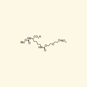 CC(C)(C)OC(=O)NC(CCCCNC(=O)OCCOCCO[N+](=O)[O-])C(=O)O